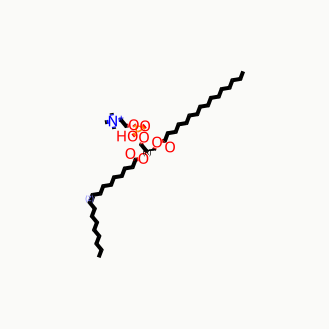 CCCCCCCC/C=C\CCCCCCCC(=O)O[C@H](COC(=O)CCCCCCCCCCCCCCC)COP(=O)(O)OCC[N+](C)(C)C